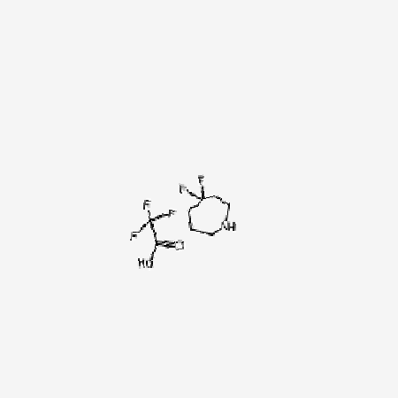 FC1(F)CCCNCC1.O=C(O)C(F)(F)F